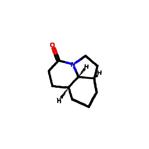 O=C1CC[C@@H]2CCC[C@@H]3CCN1[C@@H]32